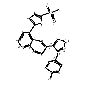 CS(=O)(=O)c1ccc(-c2ccnc3ccc(-c4c[nH]nc4-c4ccc(F)cc4)cc23)s1